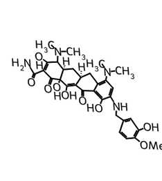 COc1ccc(CNc2cc(N(C)C)c3c(c2O)C(=O)C2=C(O)[C@]4(O)C(=O)C(C(N)=O)=C(O)C(N(C)C)[C@H]4C[C@H]2C3)cc1O